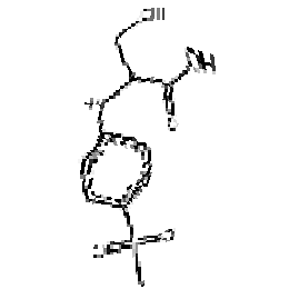 CS(=O)(=O)c1ccc(NC(CO)C(=O)O)cc1